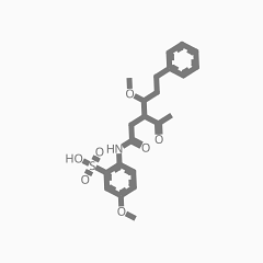 COc1ccc(NC(=O)CC(C(C)=O)C(CCc2ccccc2)OC)c(S(=O)(=O)O)c1